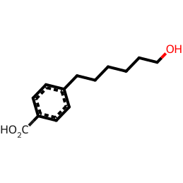 O=C(O)c1ccc(CCCCCCO)cc1